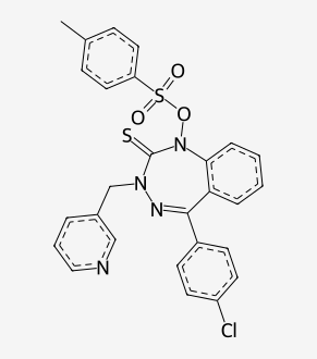 Cc1ccc(S(=O)(=O)ON2C(=S)N(Cc3cccnc3)N=C(c3ccc(Cl)cc3)c3ccccc32)cc1